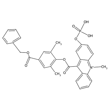 Cc1cc(C(=O)OCc2ccccc2)cc(C)c1OC(=O)c1c2ccccc2[n+](C)c2ccc(OP(=O)(O)O)cc12